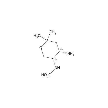 CC1(C)C[C@H](N)[C@H](NC(=O)O)CO1